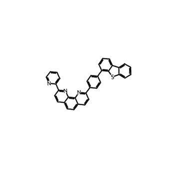 c1ccc(-c2ccc3ccc4ccc(-c5ccc(-c6cccc7c6sc6ccccc67)cc5)nc4c3n2)nc1